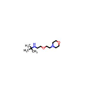 CC(C)(C)NCCOCCN1CCOCC1